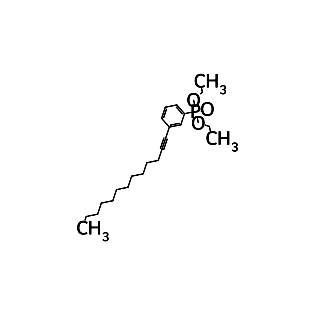 CCCCCCCCCCCC#Cc1cccc(P(=O)(OCC)OCC)c1